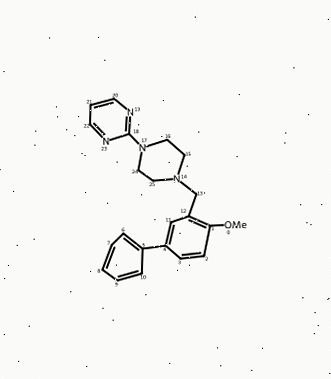 COc1ccc(-c2ccccc2)cc1CN1CCN(c2ncccn2)CC1